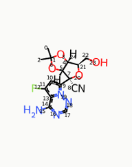 CC1(C)O[C@H]2[C@@H](O1)[C@](C#N)(c1cc(F)c3c(N)ncnn13)O[C@@H]2CO